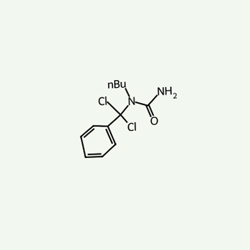 CCCCN(C(N)=O)C(Cl)(Cl)c1ccccc1